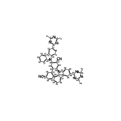 Cc1nc(C)nc(-c2ccc3c(c2)c2ccccc2n3-c2cc(-c3cccc(C#N)c3)c(-n3c4ccccc4c4cc(-c5nc(C)nc(C)n5)ccc43)cc2C#N)n1